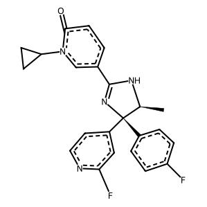 C[C@@H]1NC(c2ccc(=O)n(C3CC3)c2)=N[C@@]1(c1ccc(F)cc1)c1ccnc(F)c1